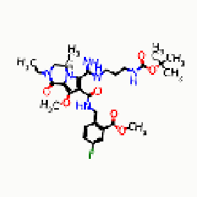 CCN1C[C@H](C)n2c(c(OC)c(C(=O)NCc3ccc(F)cc3C(=O)OC)c2C(=N)NCCCNC(=O)OC(C)(C)C)C1=O